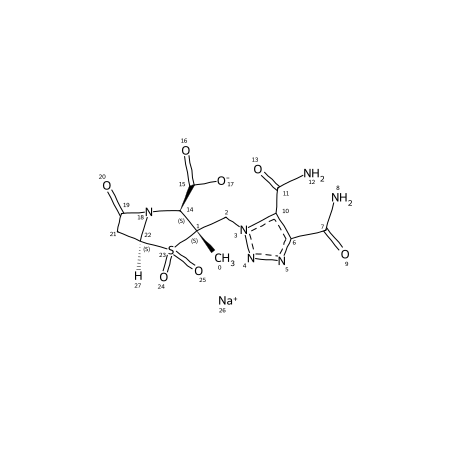 C[C@]1(Cn2nnc(C(N)=O)c2C(N)=O)[C@H](C(=O)[O-])N2C(=O)C[C@@H]2S1(=O)=O.[Na+]